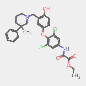 CCOC(=O)C(=O)Nc1cc(Cl)c(Oc2ccc(O)c(CN3CCCC(C)(c4ccccc4)C3)c2)c(Cl)c1